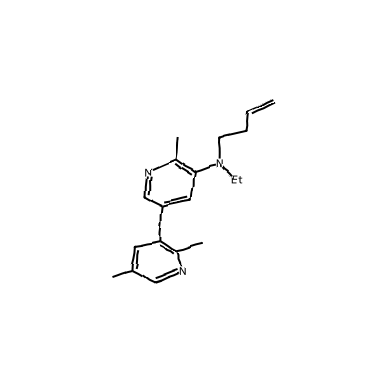 C=CCCN(CC)c1cc(-c2cc(C)cnc2C)cnc1C